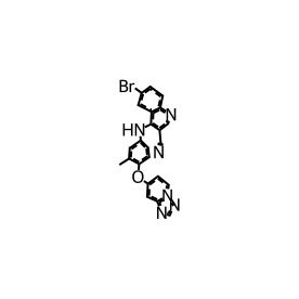 Cc1cc(Nc2c(C#N)cnc3ccc(Br)cc23)ccc1Oc1ccn2ncnc2c1